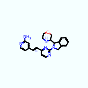 Nc1cc(/C=C/c2ccnc(N3Cc4ccccc4C3C3COCCN3)n2)ccn1